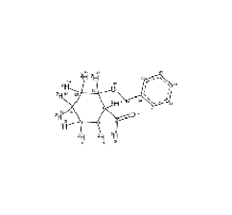 [2H]C(=O)C1([2H])C([2H])C([2H])([2H])C([2H])([2H])C([2H])([2H])C1([2H])OCc1ccccc1